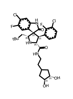 CC(C)(C)C[C@H]1N[C@@H](C(=O)NCCC2C[C@H](O)[C@@H](O)C2)[C@H](c2cccc(Cl)c2F)[C@@]12C(=O)Nc1cc(Cl)c(F)cc12